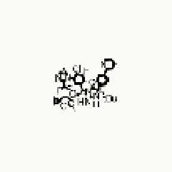 CC(C)(C)C[C@]1(c2ccc(-c3ccccn3)cc2)NC(=N)N([C@H](COC(=O)CC2(C(F)(F)F)CC2)c2cc(F)c(Cl)c(-n3ncnc3C(F)F)c2)C1=O